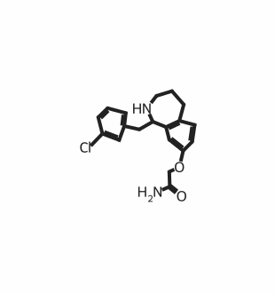 NC(=O)COc1ccc2c(c1)C(Cc1cccc(Cl)c1)NCCC2